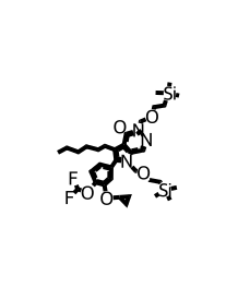 CCCCCCc1c(-c2ccc(OC(F)F)c(OC3CC3)c2)n(COCC[Si](C)(C)C)c2cnn(COCC[Si](C)(C)C)c(=O)c12